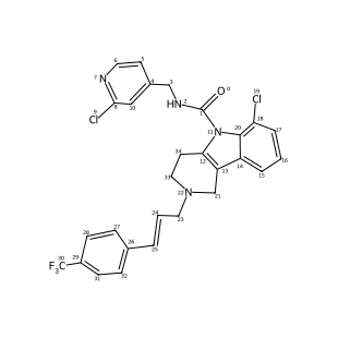 O=C(NCc1ccnc(Cl)c1)n1c2c(c3cccc(Cl)c31)CN(CC=Cc1ccc(C(F)(F)F)cc1)CC2